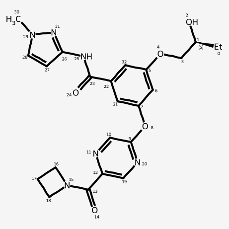 CC[C@H](O)COc1cc(Oc2cnc(C(=O)N3CCC3)cn2)cc(C(=O)Nc2ccn(C)n2)c1